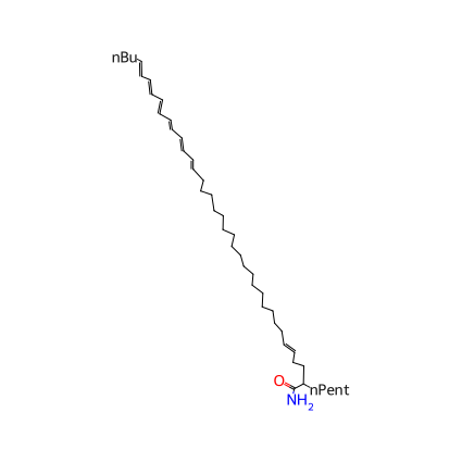 CCCCC=CC=CC=CC=CC=CC=CCCCCCCCCCCCCCCCCCC=CCCC(CCCCC)C(N)=O